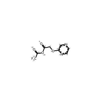 O=C(COc1cnccn1)OC(=O)C(F)(F)F